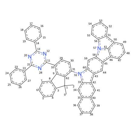 CC1(C)c2ccccc2-c2c(-c3nc(-c4ccccc4)nc(-c4ccccc4)n3)ccc(-n3c4cc5ccccc5cc4c4cc5c6cccc7c8ccccc8n(c5cc43)c76)c21